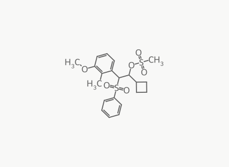 COc1cccc(C(C(OS(C)(=O)=O)C2CCC2)S(=O)(=O)c2ccccc2)c1C